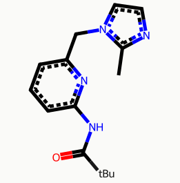 Cc1nccn1Cc1cccc(NC(=O)C(C)(C)C)n1